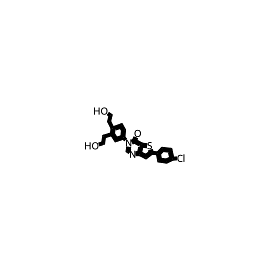 O=c1c2sc(-c3ccc(Cl)cc3)cc2ncn1-c1ccc(CCO)c(CCO)c1